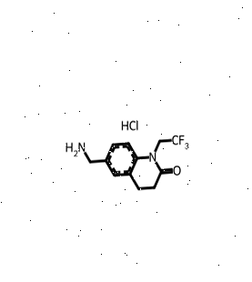 Cl.NCc1ccc2c(c1)CCC(=O)N2CC(F)(F)F